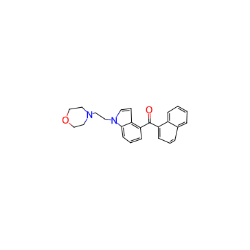 O=C(c1cccc2ccccc12)c1cccc2c1ccn2CCN1CCOCC1